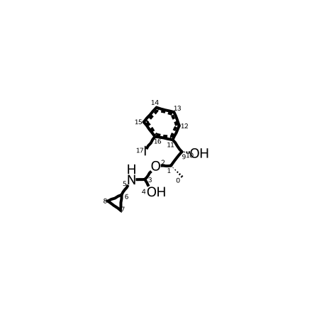 C[C@H](OC(O)NC1CC1)[C@@H](O)c1ccccc1I